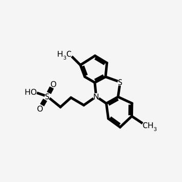 Cc1ccc2c(c1)Sc1ccc(C)cc1N2CCCS(=O)(=O)O